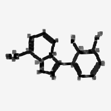 Cc1cccn2c(-c3cccc(F)c3F)ncc12